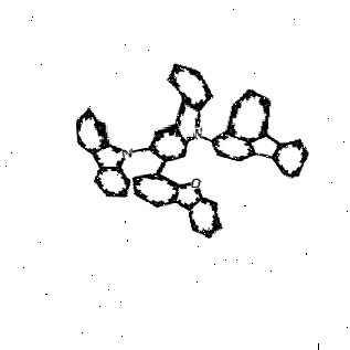 c1ccc2c(c1)-c1cccc3c(-n4c5ccccc5c5cc(-n6c7ccccc7c7ccccc76)c(-c6cccc7c6oc6ccccc67)cc54)ccc-2c13